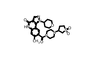 Cc1cc2[nH]c(=O)c3cnn(C4CCOCC4)c3c2cc1C(=O)N1CCN(C2CCS(=O)(=O)C2)CC1